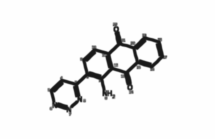 Nc1c(-c2ccnnn2)ccc2c1C(=O)c1ccccc1C2=O